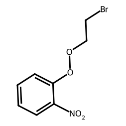 O=[N+]([O-])c1ccccc1OOCCBr